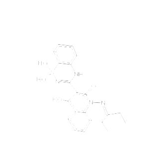 CCC(CC)=Nn1c(=O)c(C2=NS(O)(O)c3ccccc3N2)c(O)c2ccccc21